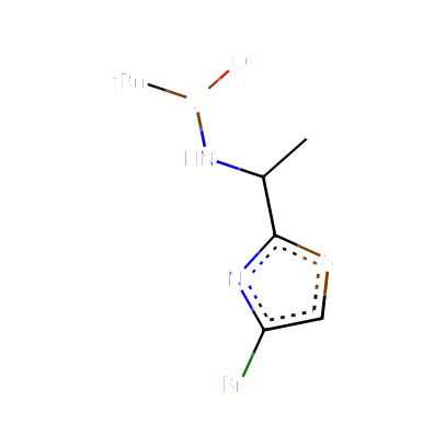 CC(N[S+]([O-])C(C)(C)C)c1nc(Br)cs1